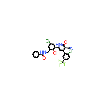 N#Cc1c(-c2cc(C(F)(F)F)ccc2Cl)cc(-c2cc(Cl)cc(CNC(=O)c3ccccc3)c2O)[nH]c1=O